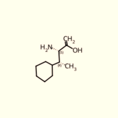 C=C(O)[C@@H](N)[C@H](C)C1CCCCC1